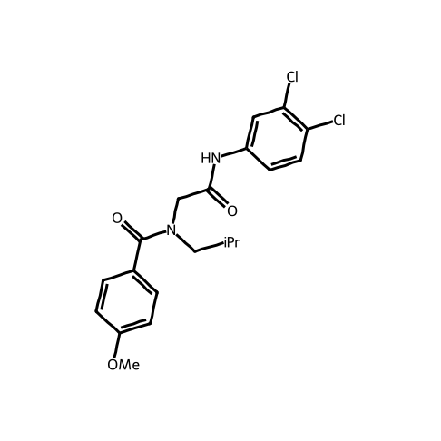 COc1ccc(C(=O)N(CC(=O)Nc2ccc(Cl)c(Cl)c2)CC(C)C)cc1